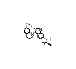 C#CC(=O)Nc1ccc2c(N3CCCc4ccc(C(F)(F)F)cc43)ncnc2c1